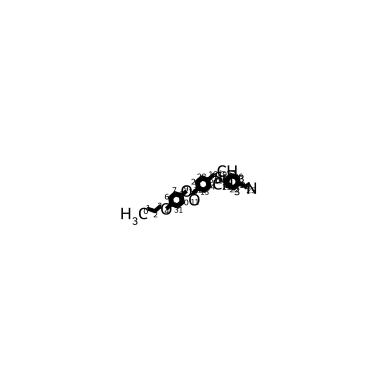 CCCCOc1ccc(OC(=O)c2ccc(C[Si](C)(C)c3ccc(C#N)cc3)cc2)cc1